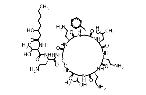 CCCCCC(O)CC(=O)N[C@H](C(=O)N[C@@H](CCN)C(=O)N[C@H]1CCNC(=O)[C@H](C(C)O)NC(=O)[C@H](CCN)NC(=O)[C@H](CCN)NC(=O)[C@H](CC(C)C)NC(=O)[C@@H](Cc2ccccc2)NC(=O)[C@H](CCN)NC1=O)C(C)O